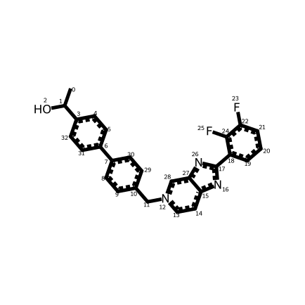 CC(O)c1ccc(-c2ccc(Cn3ccc4nc(-c5cccc(F)c5F)nc-4c3)cc2)cc1